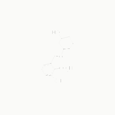 Cc1cccc(COC2CCCC(O)C2)c1C(=O)O